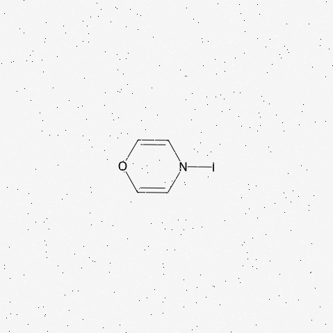 IN1C=COC=C1